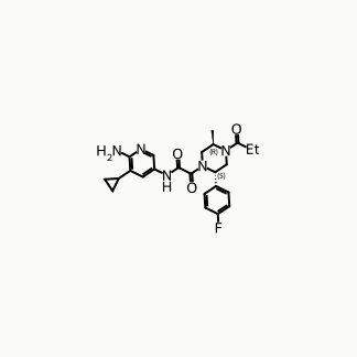 CCC(=O)N1C[C@H](c2ccc(F)cc2)N(C(=O)C(=O)Nc2cnc(N)c(C3CC3)c2)C[C@H]1C